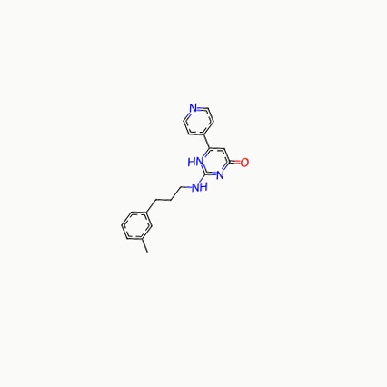 Cc1cccc(CCCNc2nc(=O)cc(-c3ccncc3)[nH]2)c1